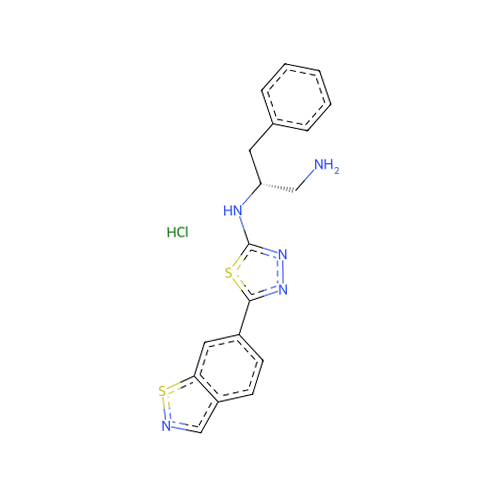 Cl.NC[C@@H](Cc1ccccc1)Nc1nnc(-c2ccc3cnsc3c2)s1